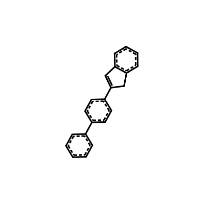 C1=C(c2ccc(-c3ccccc3)cc2)Cc2ccccc21